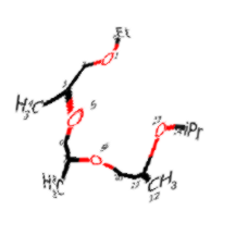 CCOCC(C)OCC(C)OCC(C)OC(C)C